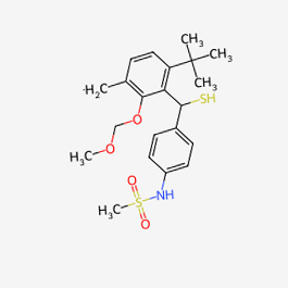 [CH2]c1ccc(C(C)(C)C)c(C(S)c2ccc(NS(C)(=O)=O)cc2)c1OCOC